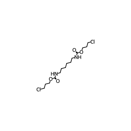 O=C(NCCCCCCNC(=O)OCCCCl)OCCCCl